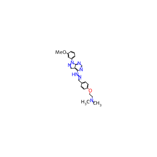 COc1cccc(-n2ncc3c(N/N=C/c4ccc(OCCN(C)C)cc4)ncnc32)c1